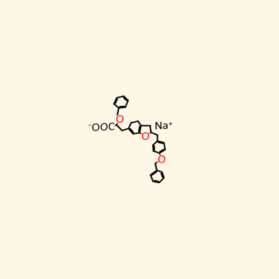 O=C([O-])C(CC1=CC2=C(CC1)CC(Cc1ccc(OCc3ccccc3)cc1)O2)OCc1ccccc1.[Na+]